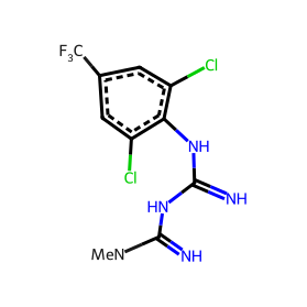 CNC(=N)NC(=N)Nc1c(Cl)cc(C(F)(F)F)cc1Cl